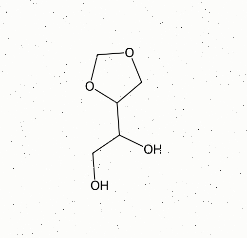 OCC(O)C1COCO1